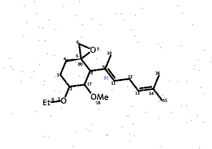 CCOC1CC[C@]2(CO2)C(/C(C)=C/CC=C(C)C)C1OC